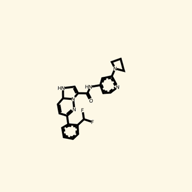 O=C(Nc1ccnc(N2CCC2)c1)C1=CNC2C=CC(c3ccccc3C(F)F)=NN12